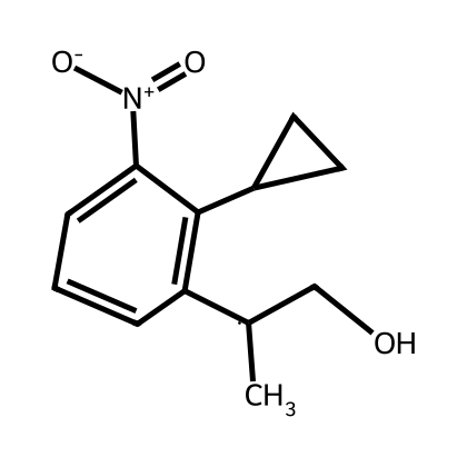 C[C](CO)c1cccc([N+](=O)[O-])c1C1CC1